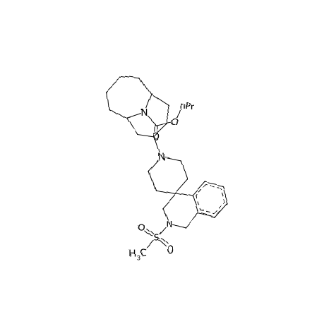 CCCOC(=O)N1C2CCCCC1CC(N1CCC3(CC1)CN(S(C)(=O)=O)Cc1ccccc13)CC2